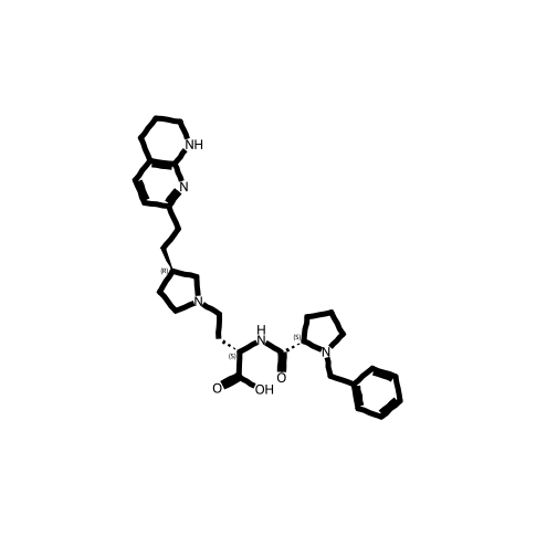 O=C(O)[C@H](CCN1CC[C@@H](CCc2ccc3c(n2)NCCC3)C1)NC(=O)[C@@H]1CCCN1Cc1ccccc1